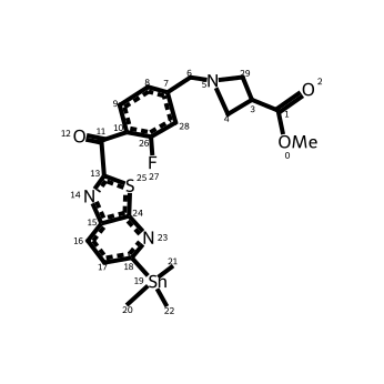 COC(=O)C1CN(Cc2ccc(C(=O)c3nc4cc[c]([Sn]([CH3])([CH3])[CH3])nc4s3)c(F)c2)C1